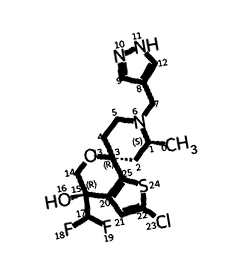 C[C@H]1C[C@@]2(CCN1Cc1cn[nH]c1)OC[C@@](O)(C(F)F)c1cc(Cl)sc12